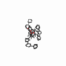 c1ccc(-c2cccc(-c3cccc(-c4nc(-c5ccccc5)nc(-n5c6ccccc6c6ccc7c8ccccc8n(-c8cccc(-c9cccc(-c%10ccccc%10)c9)c8)c7c65)n4)c3)c2)cc1